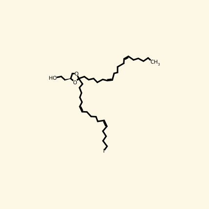 CCCCC/C=C\CCCC/C=C\CCCCCC1(CCCCC/C=C\CCCC/C=C\CCCCI)OC[C@H](CCO)O1